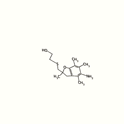 Cc1c(C)c2c(c(C)c1N)CC(C)(CSCCO)O2